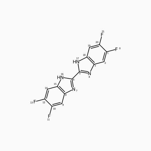 Fc1cc2nc(-c3nc4cc(F)c(F)cc4[nH]3)[nH]c2cc1F